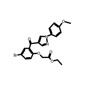 CCOC(=O)COc1ccc(Br)cc1C(=O)c1cnn(-c2ccc(OC)cc2)c1